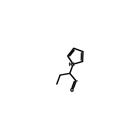 CCC([C]=O)[SH]1C=CC=C1